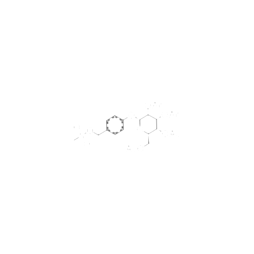 CC(=O)OC[C@H]1O[C@@H](Oc2ccc(COS(C)(=O)=O)cc2)[C@H](OC(C)=O)[C@@H](OC(C)=O)[C@H]1OC(C)=O